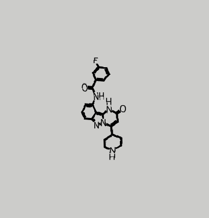 O=C(Nc1cccc2nn3c(C4CCNCC4)cc(=O)[nH]c3c12)c1cccc(F)c1